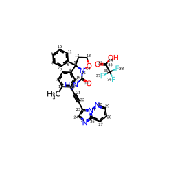 Cc1ccc(C2(c3ccccc3)CCON2C(N)=O)cc1C#Cc1cnc2cccnn12.O=C(O)C(F)(F)F